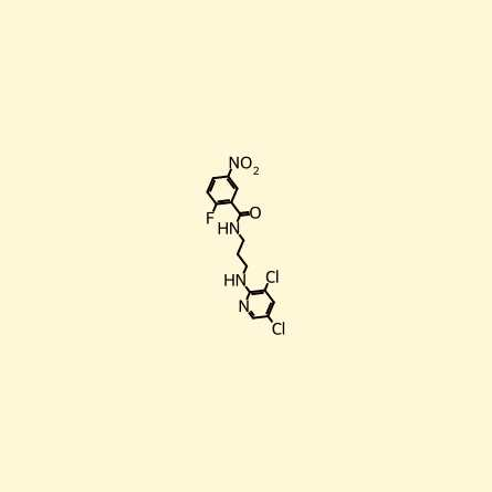 O=C(NCCCNc1ncc(Cl)cc1Cl)c1cc([N+](=O)[O-])ccc1F